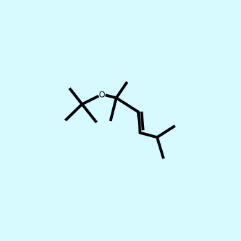 CC(C)/C=C/C(C)(C)OC(C)(C)C